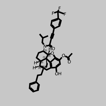 CC(=O)Oc1cc(O)c2c3c1O[C@H]1[C@@H](N(CC(C)C)C(=O)C#Cc4ccc(C(F)(F)F)cc4)CC[C@H]4[C@@H](C2)N(CCc2ccccc2)CC[C@@]341